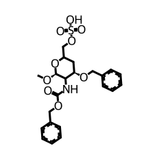 CO[C@H]1OC(COS(=O)(=O)O)C[C@@H](OCc2ccccc2)C1NC(=O)OCc1ccccc1